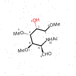 COC[C@@H](O)[C@@H](OC)[C@H](OC)[C@H](C=O)NC(C)=O